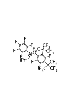 CC(C)[CH2][Al]([O]c1c(F)c(F)c(C(C(F)(F)F)(C(F)(F)F)C(F)(F)F)c(F)c1C(C(F)(F)F)(C(F)(F)F)C(F)(F)F)[c]1c(F)c(F)c(F)c(F)c1F